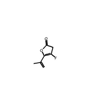 C=C(C)C1=C(F)CC(=O)O1